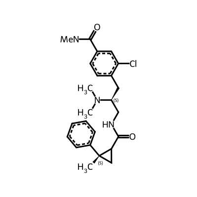 CNC(=O)c1ccc(C[C@@H](CNC(=O)C2C[C@]2(C)c2ccccc2)N(C)C)c(Cl)c1